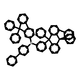 c1ccc(-c2ccc(N(c3cccc(C4(c5ccccc5)c5ccccc5C5(c6ccccc6)c6ccccc6-c6cccc4c65)c3)c3ccc4c(c3)C(c3ccccc3)(c3ccccc3)c3ccccc3-4)cc2)cc1